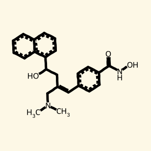 CN(C)CC(=Cc1ccc(C(=O)NO)cc1)CC(O)c1cccc2ccccc12